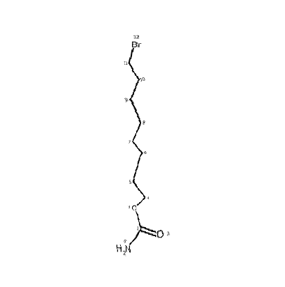 NC(=O)OCCCCCCCCBr